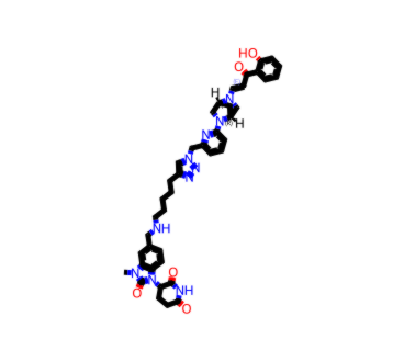 Cn1c(=O)n(C2CCC(=O)NC2=O)c2ccc(CNCCCCCc3cn(Cc4cccc(N5C[C@H]6C[C@@H]5CN6/C=C/C(=O)c5ccccc5O)n4)nn3)cc21